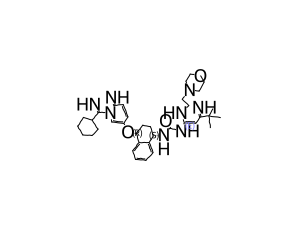 CC(C)(C)C(=N)/C=C(\NCCN1CCOCC1)NC(=O)N[C@H]1CC[C@@H](Oc2ccc(=N)n(C(=N)C3CCCCC3)c2)c2ccccc21